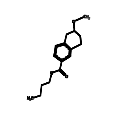 CCCCOC(=O)c1ccc2c(c1)CCC(OC)C2